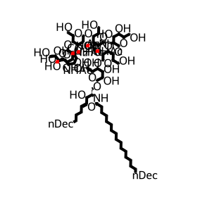 CCCCCCCCCCCCC/C=C/[C@@H](O)[C@H](CO[C@@H]1OC(CO)[C@@H](O[C@@H]2OC(CO)[C@H](O[C@@H]3OC(CO)[C@H](O)[C@H](O)C3NC(C)=O)[C@H](O[C@@H]3OC(CO)[C@@H](O[C@@H]4OC(CO)[C@H](O[C@@H]5OC(CO)[C@H](O)[C@H](O)C5NC(C)=O)[C@H](O[C@]5(C(=O)O)CC(O)[C@@H](NC(C)=O)C([C@H](O)[C@H](O)CO)O5)C4O)[C@H](O)C3NC(C)=O)C2O)[C@H](O)C1O)NC(=O)CCCCCCCCCCCCCCCCCCCCCCCCC